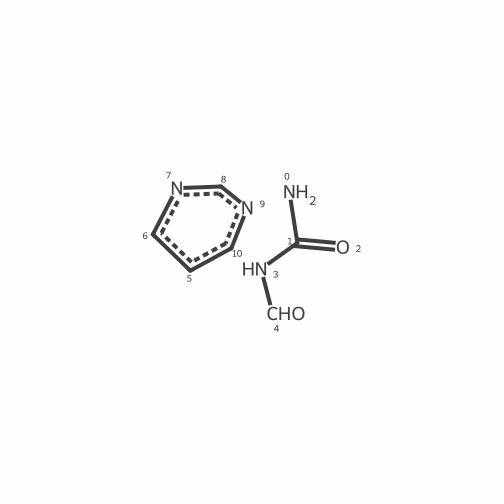 NC(=O)NC=O.c1cncnc1